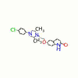 CC1CN(c2ccc(Cl)cc2)CC(C)N1CCCOc1ccc2[nH]c(=O)ccc2c1